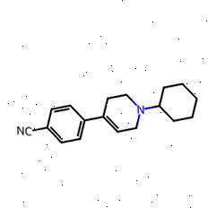 N#Cc1ccc(C2=CCN(C3CCCCC3)CC2)cc1